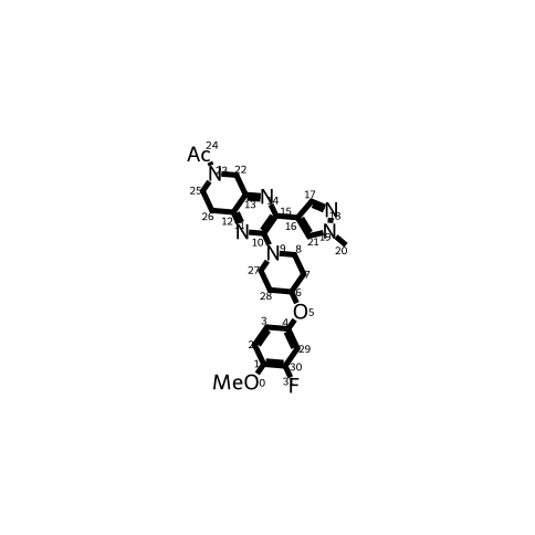 COc1ccc(OC2CCN(c3nc4c(nc3-c3cnn(C)c3)CN(C(C)=O)CC4)CC2)cc1F